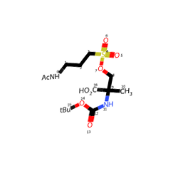 CC(=O)NCCCS(=O)(=O)OCC(C)(NC(=O)OC(C)(C)C)C(=O)O